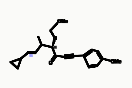 COCO[C@@H](C(=O)C#Cc1ccc(OC)cc1)C(C)/C=C/C1CC1